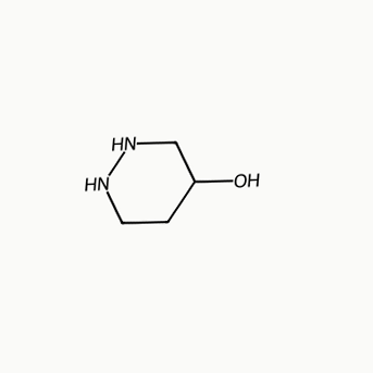 OC1CCNNC1